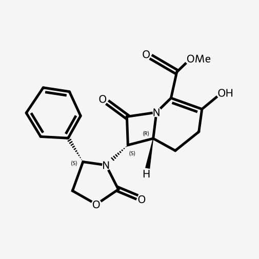 COC(=O)C1=C(O)CC[C@@H]2[C@H](N3C(=O)OC[C@@H]3c3ccccc3)C(=O)N12